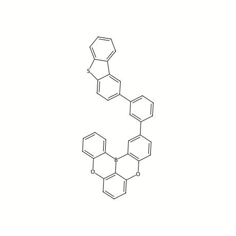 c1cc(-c2ccc3c(c2)B2c4ccccc4Oc4cccc(c42)O3)cc(-c2ccc3sc4ccccc4c3c2)c1